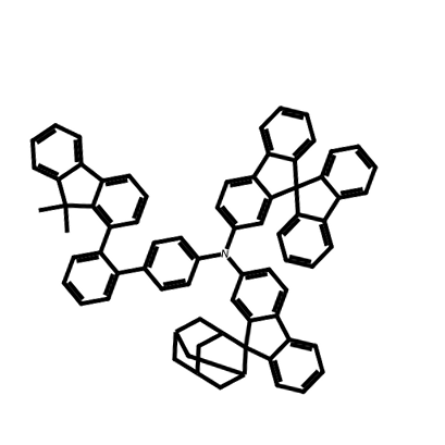 CC1(C)c2ccccc2-c2cccc(-c3ccccc3-c3ccc(N(c4ccc5c(c4)C4(c6ccccc6-c6ccccc64)c4ccccc4-5)c4ccc5c(c4)C4(c6ccccc6-5)C5CC6CC(C5)CC4C6)cc3)c21